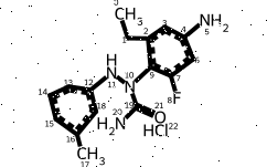 CCc1cc(N)cc(F)c1N(Nc1cccc(C)c1)C(N)=O.Cl